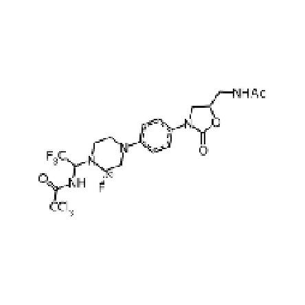 CC(=O)NCC1CN(c2ccc(N3CCN(C(NC(=O)C(Cl)(Cl)Cl)C(F)(F)F)[C@@H](F)C3)cc2)C(=O)O1